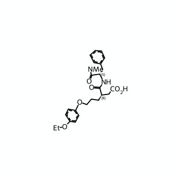 CCOc1ccc(OCCC[C@H](CC(=O)O)C(=O)N[C@@H](Cc2ccccc2)C(=O)NC)cc1